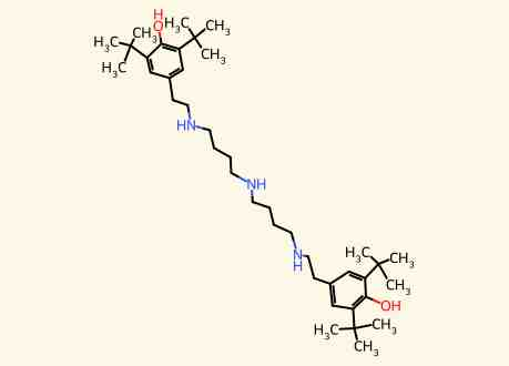 CC(C)(C)c1cc(CCNCCCCNCCCCNCCc2cc(C(C)(C)C)c(O)c(C(C)(C)C)c2)cc(C(C)(C)C)c1O